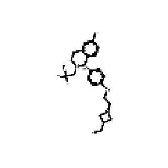 [CH2]c1ccc2c(c1)CCN(CC(F)(F)F)[C@@H]2c1ccc(OCCN2CC(CF)C2)cc1